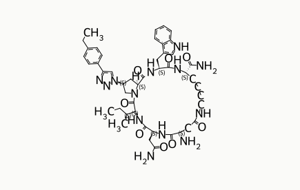 CCc1ccc(-c2cn([C@H]3C[C@H]4C(=O)N[C@@H](Cc5c[nH]c6ccccc56)C(=O)N[C@H](C(N)=O)CCCCNC(=O)C[C@H](N)C(=O)N[C@@H](CC(N)=O)C(=O)N[C@@H]([C@@H](C)CC)C(=O)N4C3)nn2)cc1